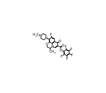 CC1COc2c(N3CCN(C)CC3)c(F)cc3c(=O)c(C(=O)Oc4c(F)c(F)c(F)c(F)c4F)cn1c23